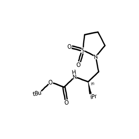 CC(C)[C@H](CN1CCCS1(=O)=O)NC(=O)OC(C)(C)C